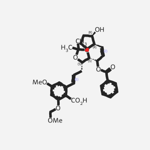 COCOc1cc(OC)cc(/C=C/C[C@@H]2OC(C)(C)O[C@@H]2C(/C=C\[C@H]2CCC[C@H]2O)OC(=O)c2ccccc2)c1C(=O)O